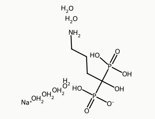 NCCCC(O)(P(=O)([O-])O)P(=O)(O)O.O.O.O.O.O.O.[Na+]